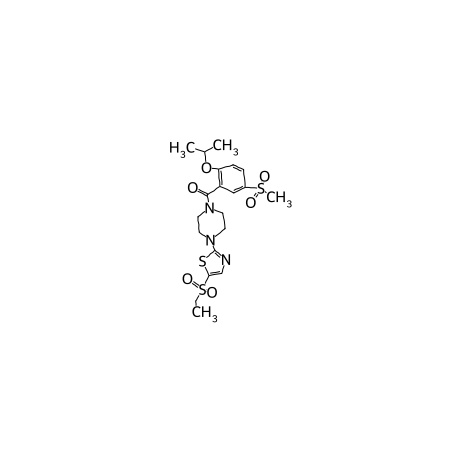 CCS(=O)(=O)c1cnc(N2CCN(C(=O)c3cc(S(C)(=O)=O)ccc3OC(C)C)CC2)s1